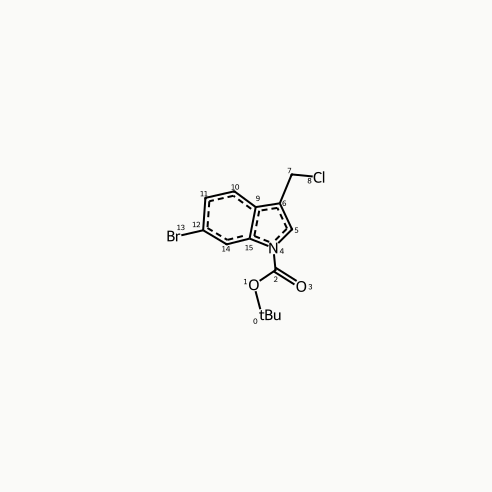 CC(C)(C)OC(=O)n1cc(CCl)c2ccc(Br)cc21